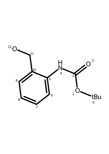 CC(C)(C)OC(=O)Nc1ccccc1C[O]